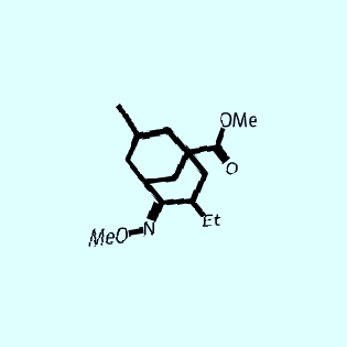 CCC1CC2(C(=O)OC)CC(C)CC(C2)/C1=N\OC